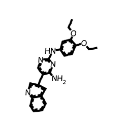 CCOc1ccc(Nc2ncc(-c3cnc4ccccc4c3)c(N)n2)cc1OCC